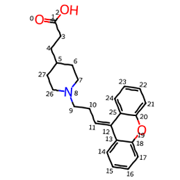 O=C(O)CCC1CCN(CCC=C2c3ccccc3Oc3ccccc32)CC1